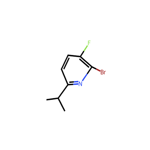 CC(C)c1ccc(F)c(Br)n1